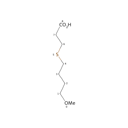 COCCCCSCCC(=O)O